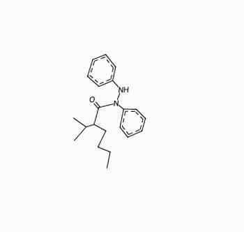 CCCCC(C(=O)N(Nc1ccccc1)c1ccccc1)C(C)C